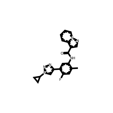 Cc1cc(F)c(-c2cn(C3CC3)nn2)cc1NC(=O)c1cnn2ccccc12